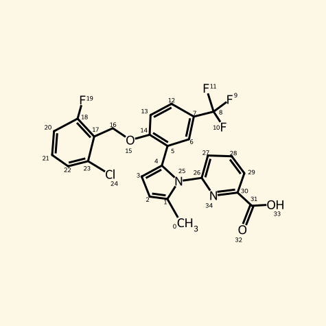 Cc1ccc(-c2cc(C(F)(F)F)ccc2OCc2c(F)cccc2Cl)n1-c1cccc(C(=O)O)n1